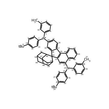 Cc1cccc(N(c2ccc(C(C)(C)C)cc2)c2ccc3c(c2)C2(c4cc(N(c5ccc(C(C)(C)C)cc5)c5cccc(C)c5)c5ccccc5c4-3)C3CC4CC(C3)CC2C4)c1